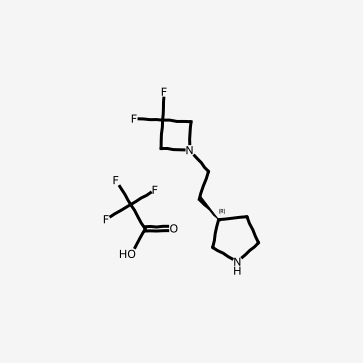 FC1(F)CN(CC[C@H]2CCNC2)C1.O=C(O)C(F)(F)F